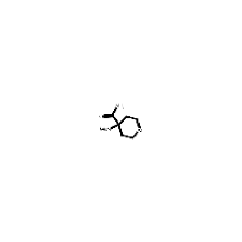 CNC1(C(N)=O)CCOCC1